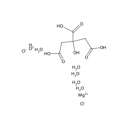 O.O.O.O.O.O.O=C(O)CC(O)(CC(=O)O)C(=O)O.[Cl-].[Cl-].[Mg+2]